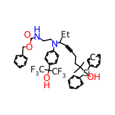 CCC(C#CCCC(C)(C)[Si](O)(c1ccccc1)c1ccccc1)N(CCNC(=O)OCc1ccccc1)c1ccc(C(O)(C(F)(F)F)C(F)(F)F)cc1